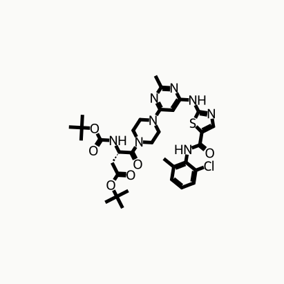 Cc1nc(Nc2ncc(C(=O)Nc3c(C)cccc3Cl)s2)cc(N2CCN(C(=O)[C@H](CC(=O)OC(C)(C)C)NC(=O)OC(C)(C)C)CC2)n1